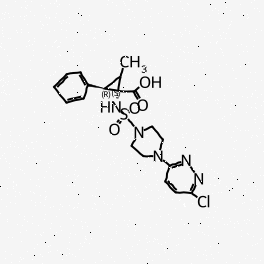 CC1[C@H](c2ccccc2)[C@]1(NS(=O)(=O)N1CCN(c2ccc(Cl)nn2)CC1)C(=O)O